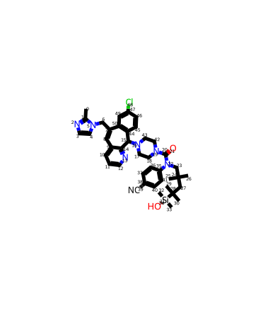 Cc1nccn1CC1=Cc2cccnc2C(N2CCN(C(=O)N(CC(C)(C)CC(C)(C)[Si](C)(C)O)c3ccc(C#N)cc3)CC2)c2ccc(Cl)cc21